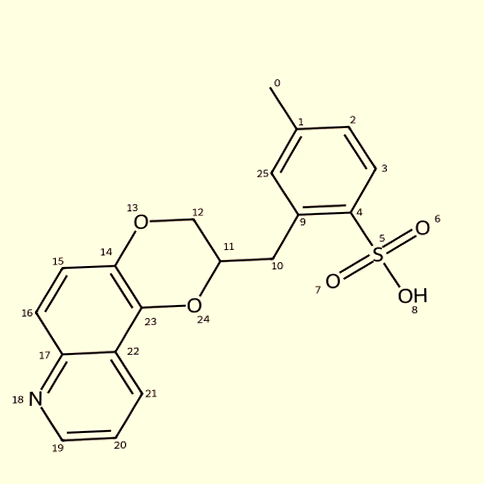 Cc1ccc(S(=O)(=O)O)c(CC2COc3ccc4ncccc4c3O2)c1